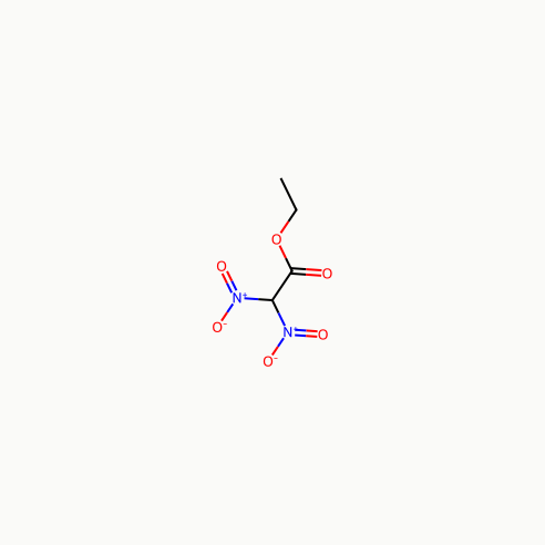 CCOC(=O)C([N+](=O)[O-])[N+](=O)[O-]